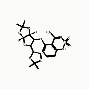 CC1(C)O[C@H]2O[C@H]([C@H]3COC(C)(C)O3)[C@H](Oc3cccc4c3C(N)=NS(=O)(=O)N4)[C@H]2O1